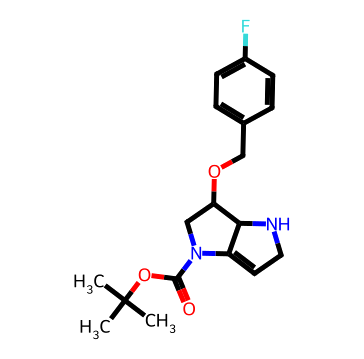 CC(C)(C)OC(=O)N1CC(OCc2ccc(F)cc2)C2NCC=C21